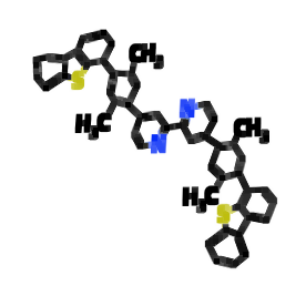 Cc1cc(-c2cccc3c2sc2ccccc23)c(C)cc1-c1ccnc(-c2cc(-c3cc(C)c(C4CC=Cc5c4sc4ccccc54)cc3C)ccn2)c1